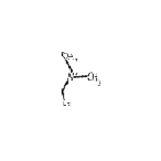 CCC[N+](C)C